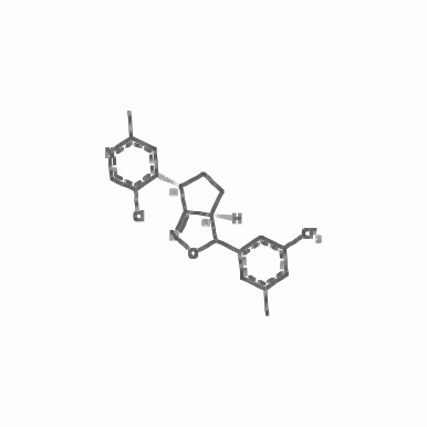 Cc1cc(C2ON=C3[C@H](c4cc(C)ncc4Cl)CC[C@H]32)cc(C(F)(F)F)c1